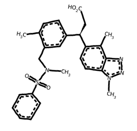 Cc1ccc([C@@H](CC(=O)O)c2ccc3c(nnn3C)c2C)cc1CN(C)S(=O)(=O)c1ccccc1